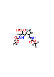 CC(NC(=O)OC(C)(C)C)C(CC1CCCC1CNC(=O)OC(C)(C)C)C(=O)O